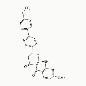 COc1ccc2c(=O)c3c([nH]c2c1)CC(c1ccc(-c2ccc(OC(F)(F)F)cc2)nc1)CC3=O